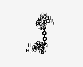 COC(=O)NC(C(=O)N1CC2(C[C@H]1c1ncc(-c3ccc(-c4ccc(-c5cnc([C@@H]6CC7(CN6C(=O)[C@@H](NC(=O)OC)C(C)C)OCCO7)[nH]5)cc4)cc3)[nH]1)OCCO2)C(C)C